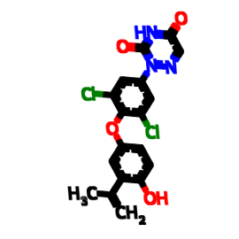 C=C(C)c1cc(Oc2c(Cl)cc(-n3ncc(=O)[nH]c3=O)cc2Cl)ccc1O